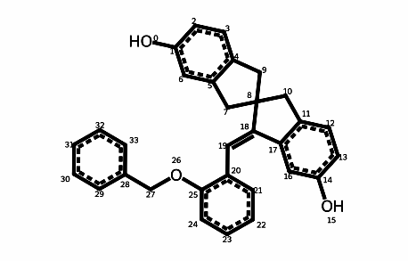 Oc1ccc2c(c1)CC1(C2)Cc2ccc(O)cc2/C1=C\c1ccccc1OCc1ccccc1